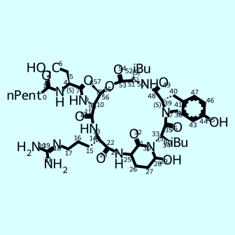 CCCCCC(=O)N[C@@H](CC(=O)O)C(=O)N[C@H]1C(=O)N[C@@H](CCCN=C(N)N)C(=O)NC2CCC(O)N(C2=O)[C@@H]([C@H](C)CC)C(=O)N(C)[C@@H](Cc2ccc(O)cc2)C(=O)N[C@@H]([C@@H](C)CC)C(=O)O[C@@H]1C